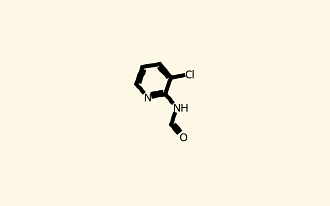 O=CNc1ncccc1Cl